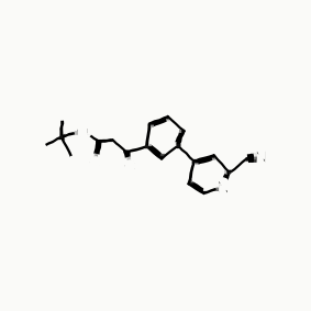 CC(C)(C)OC(=O)CC(=O)c1cccc(-c2ccnc(C#N)c2)c1